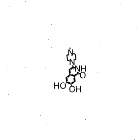 CN1CCN(c2cc3cc(O)c(O)cc3c(=O)[nH]2)CC1